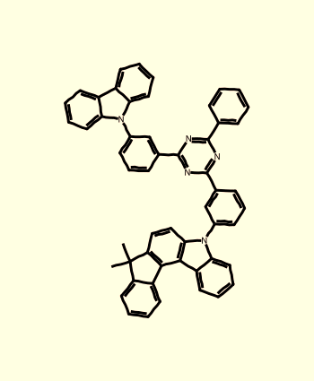 CC1(C)c2ccccc2-c2c1ccc1c2c2ccccc2n1-c1cccc(-c2nc(-c3ccccc3)nc(-c3cccc(-n4c5ccccc5c5ccccc54)c3)n2)c1